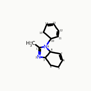 CC1=NC2CCC=CC2N1C1C=CC=CC1